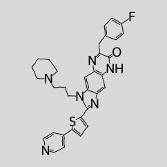 O=c1[nH]c2cc3nc(-c4ccc(-c5ccncc5)s4)n(CCCN4CCCCC4)c3cc2nc1Cc1ccc(F)cc1